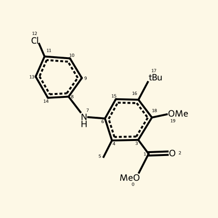 COC(=O)c1c(C)c(Nc2ccc(Cl)cc2)cc(C(C)(C)C)c1OC